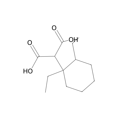 CCC1CCCCC1(CC)C(C(=O)O)C(=O)O